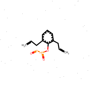 C=CCc1cccc(CC=C)c1O[PH](=O)P=O